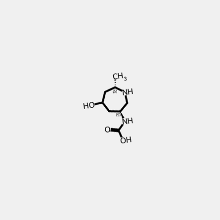 C[C@H]1CC(O)C[C@H](NC(=O)O)CN1